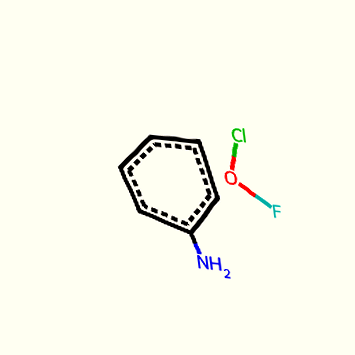 FOCl.Nc1ccccc1